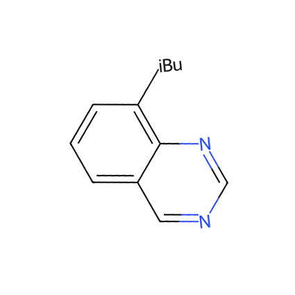 CCC(C)c1cccc2cncnc12